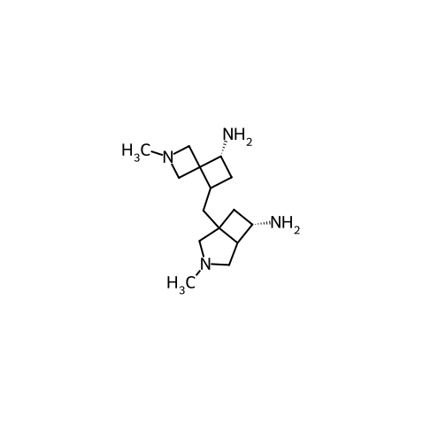 CN1CC2[C@@H](N)CC2(CC2C[C@@H](N)C23CN(C)C3)C1